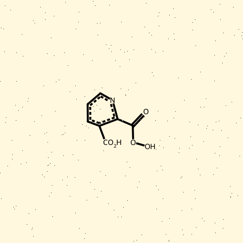 O=C(O)c1cccnc1C(=O)OO